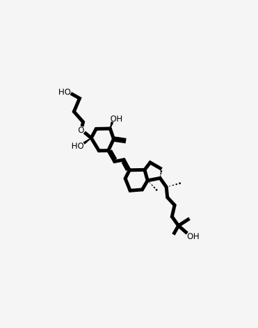 C=C1/C(=C\C=C2CCC[C@@]3(C)C2CC[C@@H]3[C@H](C)CCCC(C)(C)O)C[C@](O)(OCCCO)C[C@H]1O